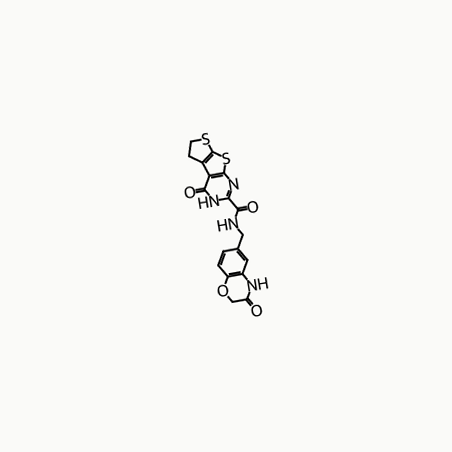 O=C1COc2ccc(CNC(=O)c3nc4sc5c(c4c(=O)[nH]3)CCS5)cc2N1